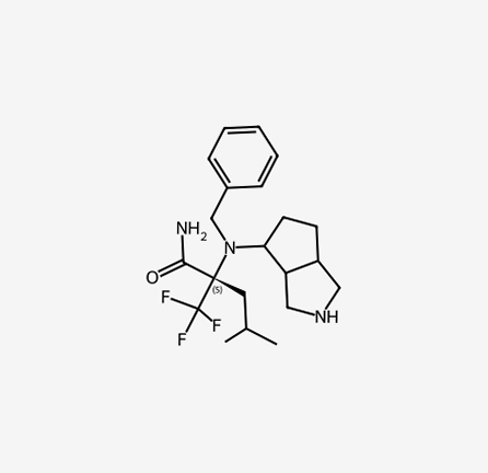 CC(C)C[C@@](C(N)=O)(N(Cc1ccccc1)C1CCC2CNCC21)C(F)(F)F